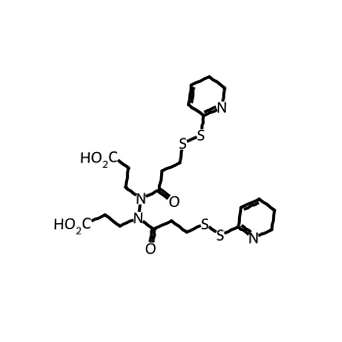 O=C(O)CCN(C(=O)CCSSC1=NCCC=C1)N(CCC(=O)O)C(=O)CCSSC1=NCCC=C1